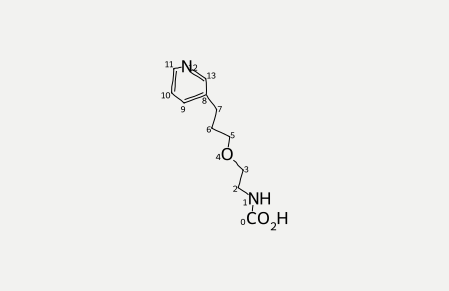 O=C(O)NCCOCCCc1cccnc1